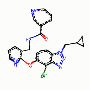 O=C(NCc1cccnc1Oc1ccc2c(nnn2CC2CC2)c1Br)c1cccnc1